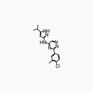 Cc1cc(-c2nncc(Nc3cc(C(C)C)[nH]n3)n2)ccc1Cl